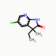 CCC1(C)C(=O)Nc2ncc(F)cc21